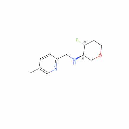 Cc1ccc(CN[C@@H]2COCC[C@H]2F)nc1